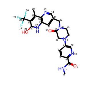 CNC(=O)c1ccc(N2CCN(Cc3cnc4c(c3)NC(O)C(C(F)(F)F)=C4C)C(=O)C2)cn1